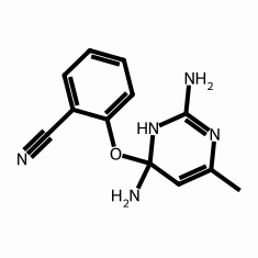 CC1=CC(N)(Oc2ccccc2C#N)NC(N)=N1